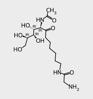 CC(=O)N[C@@H](C(=O)CCCCCCNC(=O)CN)[C@@H](O)[C@@H](O)[C@H](O)CO